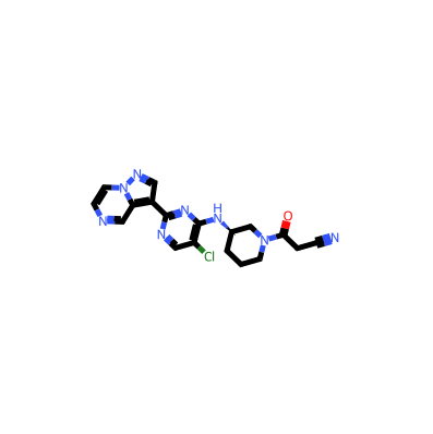 N#CCC(=O)N1CCC[C@@H](Nc2nc(-c3cnn4ccncc34)ncc2Cl)C1